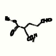 CCC(C)OC(=O)C(CCC=O)C(=O)O